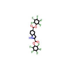 O=C(Oc1c(F)c(F)c(F)c(F)c1F)c1ccc2[nH]c(C(=O)Oc3c(F)c(F)c(F)c(F)c3F)cc2c1